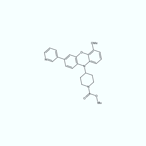 COc1cccc2c1Oc1cc(-c3cccnc3)ccc1N2C1CCN(C(=O)OC(C)(C)C)CC1